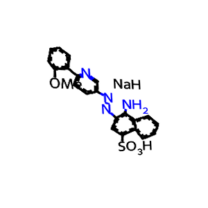 COc1ccccc1-c1ccc(N=Nc2cc(S(=O)(=O)O)c3ccccc3c2N)cn1.[NaH]